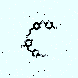 COc1ncc(Cc2c[nH]c(OCCc3ccc(Oc4ncc(Cl)cn4)cc3)nc2=O)cn1